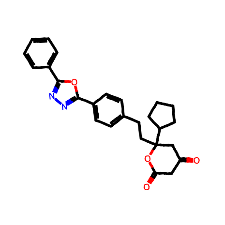 O=C1CC(=O)OC(CCc2ccc(-c3nnc(-c4ccccc4)o3)cc2)(C2CCCC2)C1